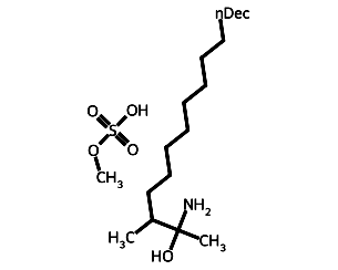 CCCCCCCCCCCCCCCCCCC(C)C(C)(N)O.COS(=O)(=O)O